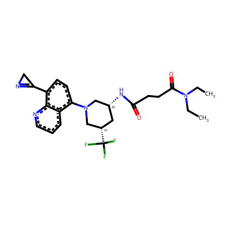 CCN(CC)C(=O)CCC(=O)N[C@@H]1C[C@H](C(F)(F)F)CN(c2ccc(C3=NC3)c3ncccc23)C1